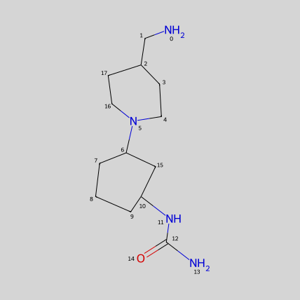 NCC1CCN(C2CCCC(NC(N)=O)C2)CC1